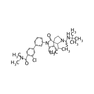 CC(C)C1N(C(=S)NC(C)(C)C)CCC12C(=O)N(c1cccc(-c3ccc(C(=O)N(C)C)c(Cl)c3)c1)c1ccccc12